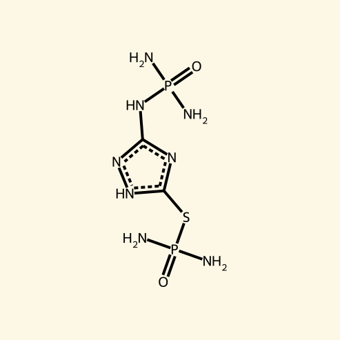 NP(N)(=O)Nc1n[nH]c(SP(N)(N)=O)n1